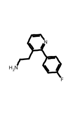 NCCc1cccnc1-c1ccc(F)cc1